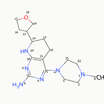 CN1CCN(c2nc(N)nc3c2CCC(C2CCOC2)N3)CC1